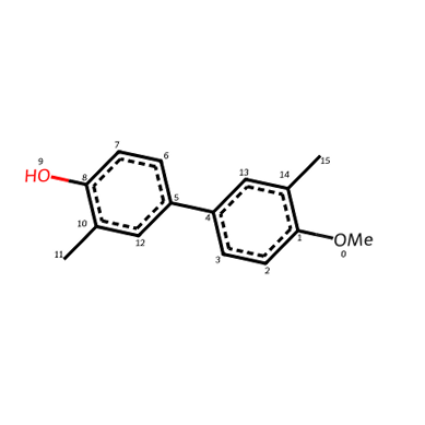 COc1ccc(-c2ccc(O)c(C)c2)cc1C